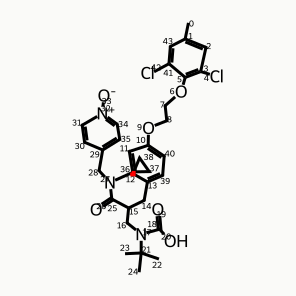 Cc1cc(Cl)c(OCCOc2ccc(CC(CN(C(=O)O)C(C)(C)C)C(=O)N(Cc3cc[n+]([O-])cc3)C3CC3)cc2)c(Cl)c1